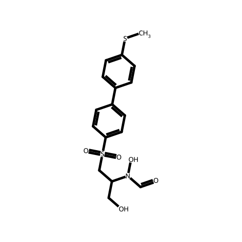 CSc1ccc(-c2ccc(S(=O)(=O)CC(CO)N(O)C=O)cc2)cc1